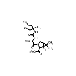 COC(=O)[C@@H]1[C@@H]2C(CN1C(=O)[C@@H](NC(=O)N[C@](C)(CSC(C)(C)C)CC(C)C)C(C)(C)C)C2(C)C